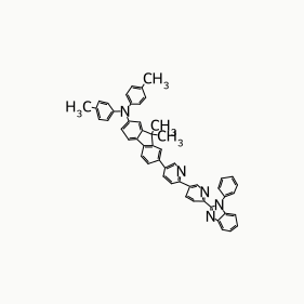 Cc1ccc(N(c2ccc(C)cc2)c2ccc3c(c2)C(C)(C)c2cc(-c4ccc(-c5ccc(-c6nc7ccccc7n6-c6ccccc6)nc5)nc4)ccc2-3)cc1